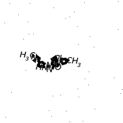 Cc1ccc(-n2c(=O)c3cnc(Nc4ccc(N5CCN(C)CC5)cc4)nc3n3ccnc23)c(Cl)c1